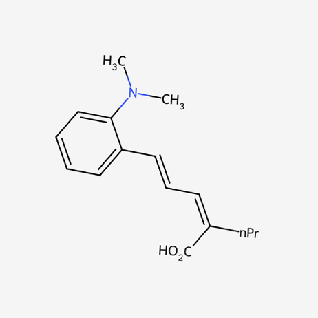 CCCC(=CC=Cc1ccccc1N(C)C)C(=O)O